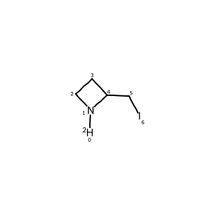 [2H]N1CCC1CI